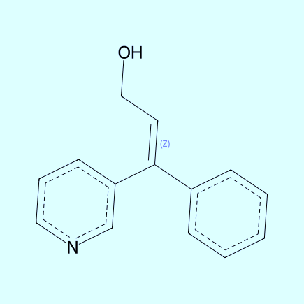 OC/C=C(/c1ccccc1)c1cccnc1